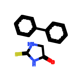 O=C1CNC(=S)N1.c1ccc(-c2ccccc2)cc1